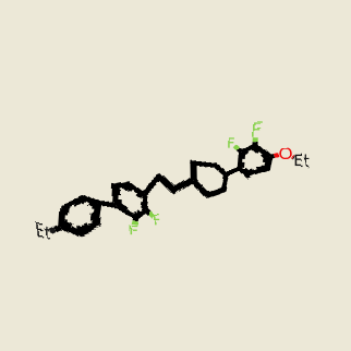 CCOc1ccc(C2CCC(CCc3ccc(-c4ccc(CC)cc4)c(F)c3F)CC2)c(F)c1F